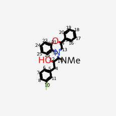 CNC(C(O)Cc1cccc(F)c1)N1CC(c2ccccc2)Oc2ccccc21